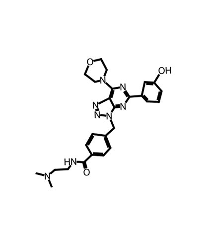 CN(C)CCNC(=O)c1ccc(Cn2nnc3c(N4CCOCC4)nc(-c4cccc(O)c4)nc32)cc1